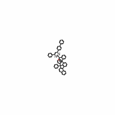 c1ccc(-c2ccc(-c3cc(-c4ccccc4)nc(-c4ccc(-c5cccc6c5C(c5ccccc5)(c5ccccc5)c5ccc7ccccc7c5-6)c5ccccc45)n3)cc2)cc1